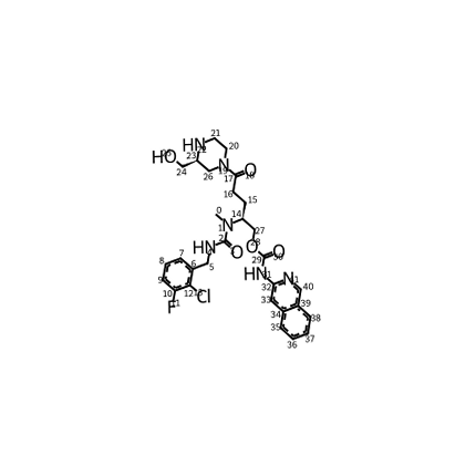 CN(C(=O)NCc1cccc(F)c1Cl)[C@@H](CCC(=O)N1CCN[C@H](CO)C1)COC(=O)Nc1cc2ccccc2cn1